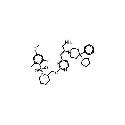 COc1cc(C)c(S(=O)(=O)N2CCCCC2COc2nccc(CC(CN)N3CCC(c4ccccc4)(N4CCCC4)CC3)n2)c(C)c1